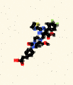 COC[C@@H]1[C@H]2CN(c3ccc(CCC(=O)O)cc3)C(=O)N2CCN1CC1=C(C(=O)OC)C(c2ccc(F)c(F)c2C)N=C(c2nccs2)N1